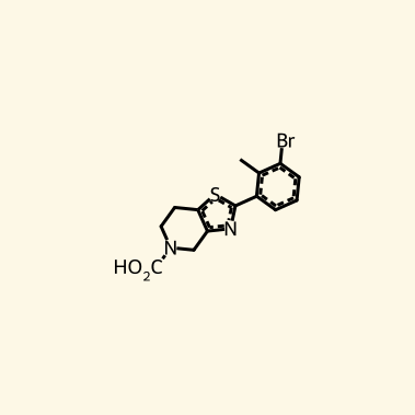 Cc1c(Br)cccc1-c1nc2c(s1)CCN(C(=O)O)C2